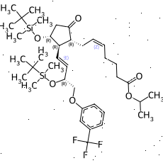 CC(C)OC(=O)CCC/C=C\C[C@H]1C(=O)C[C@@H](O[Si](C)(C)C(C)(C)C)[C@@H]1/C=C/[C@H](COc1cccc(C(F)(F)F)c1)O[Si](C)(C)C(C)(C)C